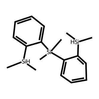 C[SiH](C)c1ccccc1[Si](C)(C)c1ccccc1[SiH](C)C